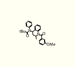 COc1cccc(C(=O)N2c3ccccc3C(N(C(=O)C(C)(C)C)c3ccccc3)CC2C)c1